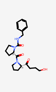 O=C(CCCO)[C@@H]1CCCN1C(=O)[C@@H]1CCCN1C(=O)NCc1ccccc1